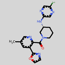 Cc1cnc(C(=O)N2CCC[C@@H](Nc3cnc(Cl)cn3)C2)c(-c2ncco2)c1